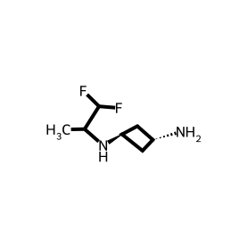 CC(N[C@H]1C[C@H](N)C1)C(F)F